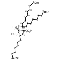 CCCCCCCCCCCCCCCCCOC(C(=O)O)(C(C(C)=O)C(=O)O)C(CCCCCCCCCCCCCCCCC)(CCCCCCCCCCCCCCCCC)C(=O)O